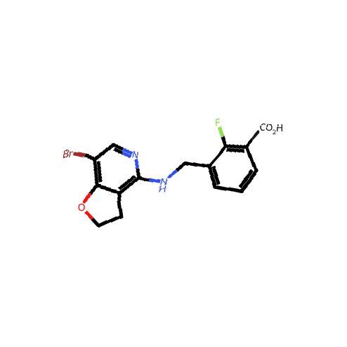 O=C(O)c1cccc(CNc2ncc(Br)c3c2CCO3)c1F